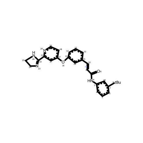 CC(C)(C)c1cccc(NC(=O)/C=C/c2cccc(Oc3ccnc(C4=NCCN4)c3)c2)c1